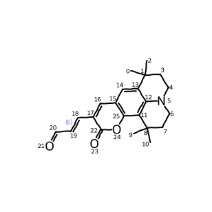 CC1(C)CCN2CCC(C)(C)c3c2c1cc1cc(/C=C/C=O)c(=O)oc31